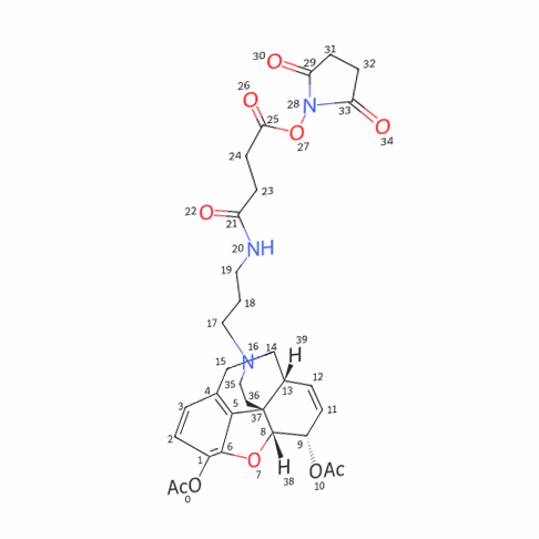 CC(=O)Oc1ccc2c3c1O[C@H]1[C@@H](OC(C)=O)C=C[C@H]4C(C2)N(CCCNC(=O)CCC(=O)ON2C(=O)CCC2=O)CC[C@@]341